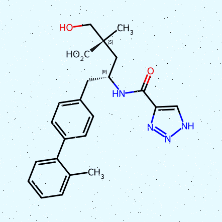 Cc1ccccc1-c1ccc(C[C@H](C[C@@](C)(CO)C(=O)O)NC(=O)c2c[nH]nn2)cc1